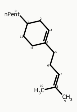 CCCCCC1CC=C(CCC=C(C)C)CC1